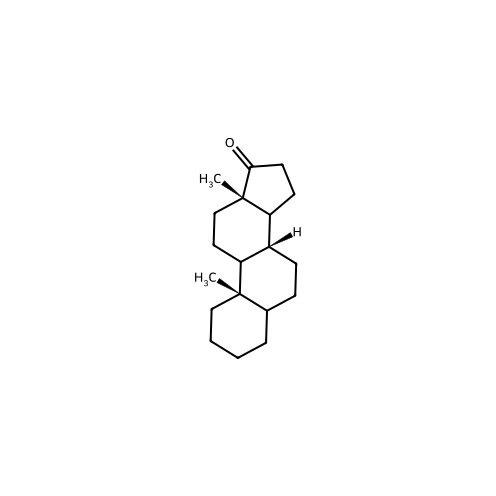 C[C@]12CCCCC1CC[C@@H]1C2CC[C@]2(C)C(=O)CCC12